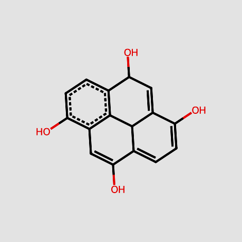 OC1=CC=C2C(O)=Cc3c(O)ccc4c3C2C1=CC4O